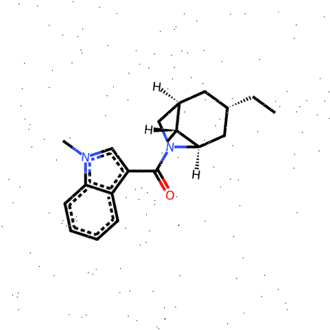 CC[C@H]1C[C@@H]2CN(C(=O)c3cn(C)c4ccccc34)[C@H](C1)[C@@H]2C